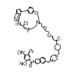 CC/C1=C\N(C)CCCN(CCOCCOCCC(=O)N2CCC(CN3CCN(Cc4ccc5c(c4)CN(C(=O)c4cc(C(C)C)c(N=O)cc4N=O)C5)CC3)CC2)CCOc2ccc(cc2)-c2ccc3cnc(nn23)N1